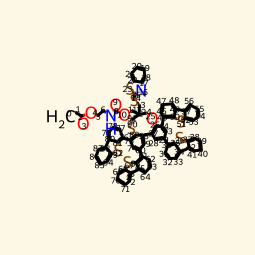 C=CC(=O)OCCNC(=O)OCC1(CSc2nc3ccccc3s2)COc2c(cc(-c3cccc4c3sc3ccccc34)cc2-c2cccc3c2sc2ccccc23)-c2cc(-c3cccc4c3sc3ccccc34)cc(-c3cccc4c3sc3ccccc34)c2SC1